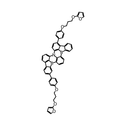 c1coc(OCCCOc2ccc(-c3ccc4c(c3)B3c5cccc6c5N(c5cccc-4c53)c3ccc(-c4ccc(OCCCOc5ccco5)cc4)c4c3B6c3ccccc3-4)cc2)c1